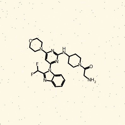 NCC(=O)N1CCC(Nc2nc(N3CCOCC3)cc(-n3c(C(F)F)nc4ccccc43)n2)CC1